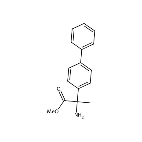 COC(=O)C(C)(N)c1ccc(-c2ccccc2)cc1